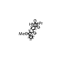 CCCn1c(=O)[nH]c2ccc(C(=O)c3c(C)c(OC)c4ccccn34)cc2c1=O